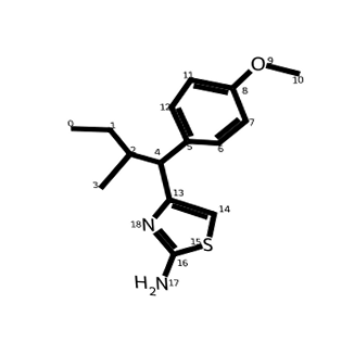 CCC(C)C(c1ccc(OC)cc1)c1csc(N)n1